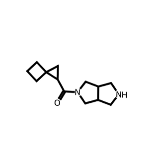 O=C(C1CC12CCC2)N1CC2CNCC2C1